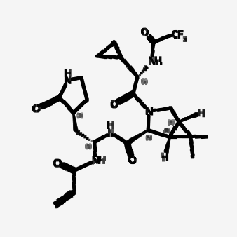 C=CC(=O)N[C@H](C[C@@H]1CCNC1=O)NC(=O)[C@@H]1[C@@H]2[C@H](CN1C(=O)[C@@H](NC(=O)C(F)(F)F)C1CC1)C2(C)C